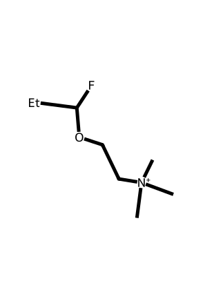 CCC(F)OCC[N+](C)(C)C